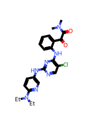 CCN(CC)c1ccc(Nc2ncc(Cl)c(Nc3ccccc3C(=O)C(=O)N(C)C)n2)cn1